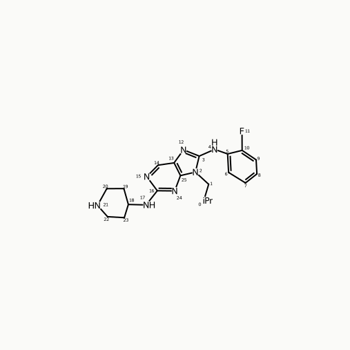 CC(C)Cn1c(Nc2ccccc2F)nc2cnc(NC3CCNCC3)nc21